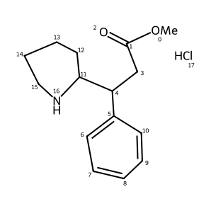 COC(=O)CC(c1ccccc1)C1CCCCN1.Cl